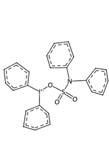 O=S(=O)(O[I+](c1ccccc1)c1ccccc1)N(c1ccccc1)c1ccccc1